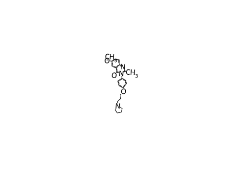 COc1ccc2nc(C)n(-c3ccc(OCCCN4CCCC4)cc3)c(=O)c2c1